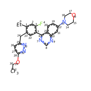 CCc1cc(F)c(-c2ncnc3cc(N4CCOCC4)ccc23)cc1Cc1ccc(OCC(F)(F)F)nn1